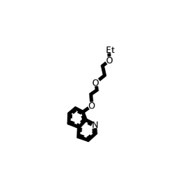 CCOCCOCCOc1cccc2cccnc12